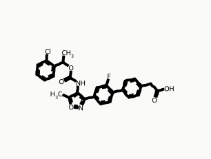 Cc1onc(-c2ccc(-c3ccc(CC(=O)O)cc3)c(F)c2)c1NC(=O)OC(C)c1ccccc1Cl